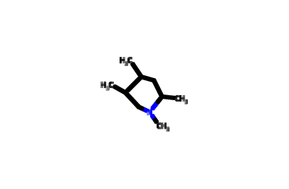 CC1CC(C)N(C)CC1C